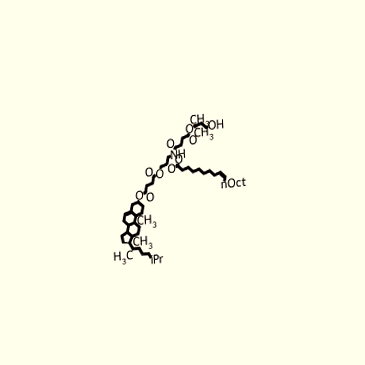 CCCCCCCC/C=C\CCCCCCCC(=O)OC(CNC(=O)CCC(=O)OC(C)(C)CCO)COC(=O)CCC(=O)O[C@H]1CC[C@@]2(C)C(=CCC3C2CC[C@@]2(C)C3CC[C@@H]2[C@H](C)CCCC(C)C)C1